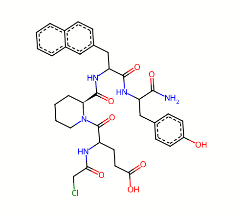 NC(=O)C(Cc1ccc(O)cc1)NC(=O)C(Cc1ccc2ccccc2c1)NC(=O)[C@@H]1CCCCN1C(=O)C(CCC(=O)O)NC(=O)CCl